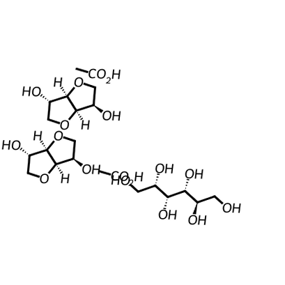 CC(=O)O.CC(=O)O.OC[C@@H](O)[C@@H](O)[C@H](O)[C@@H](O)CO.O[C@@H]1CO[C@H]2[C@@H]1OC[C@@H]2O.O[C@@H]1CO[C@H]2[C@@H]1OC[C@@H]2O